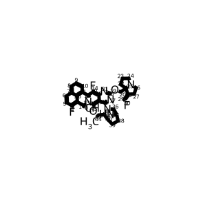 C#Cc1c(F)ccc2cccc(-c3nc4c5c(nc(OCC67CCCN6CCC7=CF)nc5c3F)N3CC5CCC(N5)C3C(C)O4)c12